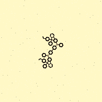 C=Cc1ccc(C2(c3ccccc3)c3cc(N(c4ccccc4)c4ccc(-c5ccc(N(c6ccccc6)c6ccc7c(c6)C(c6ccccc6)(c6ccc(C=C)cc6)C6C=CC=CC76)cc5)cc4)ccc3C3C=CC=CC32)cc1